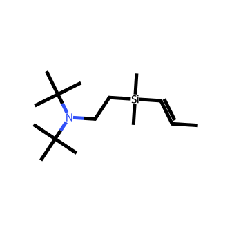 CC=C[Si](C)(C)CCN(C(C)(C)C)C(C)(C)C